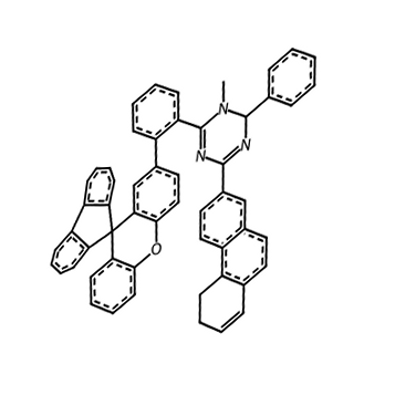 CN1C(c2ccccc2-c2ccc3c(c2)C2(c4ccccc4O3)c3ccccc3-c3ccccc32)=NC(c2ccc3c4c(ccc3c2)C=CCC4)=NC1c1ccccc1